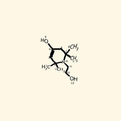 CC1(C)C=C(O)CC(C)(C)N1CCO